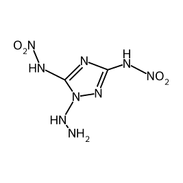 NNn1nc(N[N+](=O)[O-])nc1N[N+](=O)[O-]